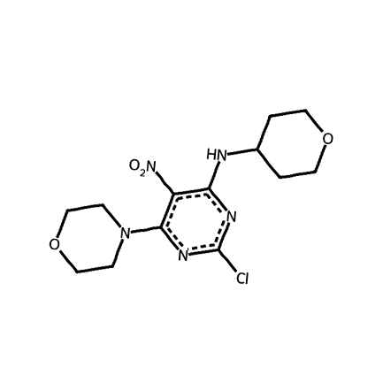 O=[N+]([O-])c1c(NC2CCOCC2)nc(Cl)nc1N1CCOCC1